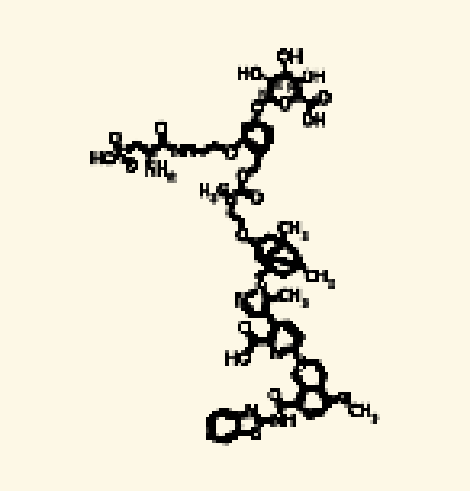 COc1ccc(C(=O)Nc2nc3ccccc3s2)c2c1CCN(c1ccc(-c3cnn(CC45CC6(C)CC(C)(C4)CC(OCCN(C)C(=O)OCc4ccc(O[C@@H]7O[C@H](C(=O)O)[C@@H](O)[C@H](O)[C@H]7O)cc4OCCCNC(=O)[C@@H](N)CS(=O)(=O)O)(C6)C5)c3C)c(C(=O)O)n1)C2